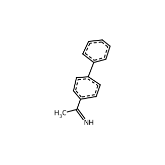 CC(=N)c1ccc(-c2ccccc2)cc1